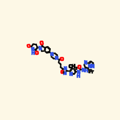 Cc1cc(NC(=O)Nc2cnc3ccnn3c2C(C)C)cnc1-c1noc(CCCC(=O)N2CCN(c3ccc4c(c3)CN(C3CCC(=O)NC3=O)C4=O)CC2)n1